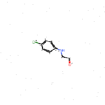 O=CCNc1ccc(Cl)cc1